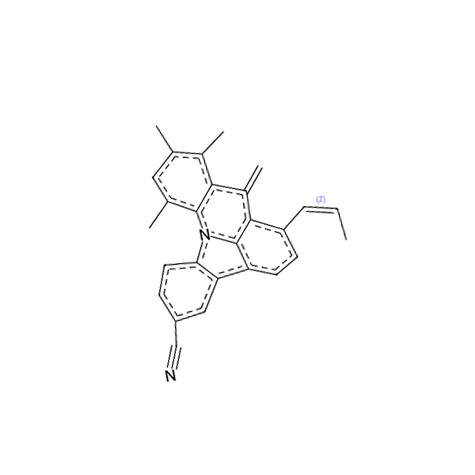 C=c1c2c(C)c(C)cc(C)c2n2c3ccc(C#N)cc3c3ccc(/C=C\C)c1c32